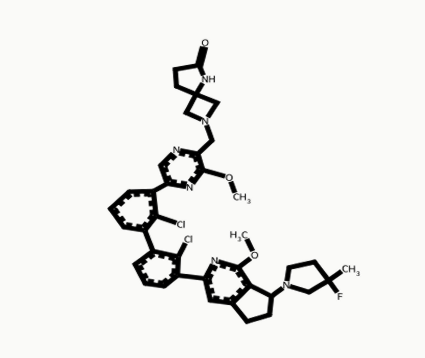 COc1nc(-c2cccc(-c3cccc(-c4cc5c(c(OC)n4)C(N4CCC(C)(F)C4)CC5)c3Cl)c2Cl)cnc1CN1CC2(CCC(=O)N2)C1